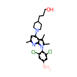 Bc1cc(Cl)c(-n2c(C)c(C)c3c(N4CCC(CCCO)CC4)cc(C)nc32)c(Cl)c1